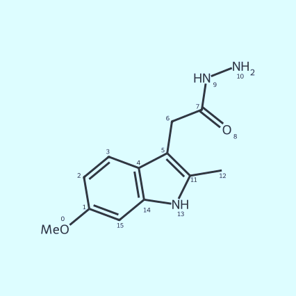 COc1ccc2c(CC(=O)NN)c(C)[nH]c2c1